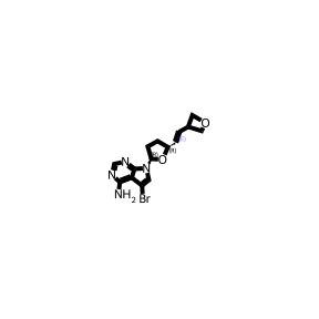 Nc1ncnc2c1c(Br)cn2[C@H]1CC[C@H](/C=C/C2COC2)O1